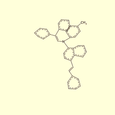 Cc1ccc(N(C=C(c2ccccc2)c2ccccc2)c2ccc(/C=C/c3ccccc3)c3ccccc23)cc1